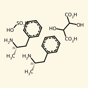 C[C@H](N)Cc1ccccc1.C[C@H](N)Cc1ccccc1.O=C(O)C(O)C(O)C(=O)O.O=S(=O)(O)O